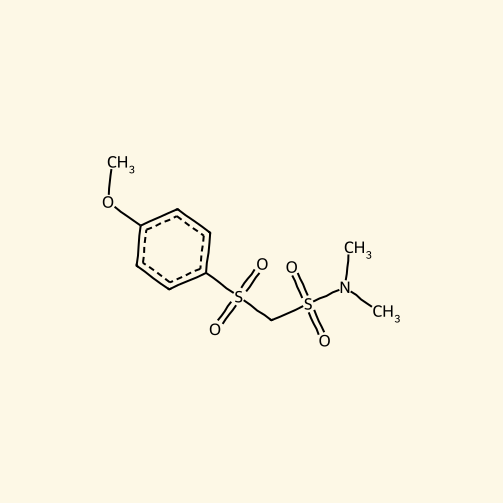 COc1ccc(S(=O)(=O)CS(=O)(=O)N(C)C)cc1